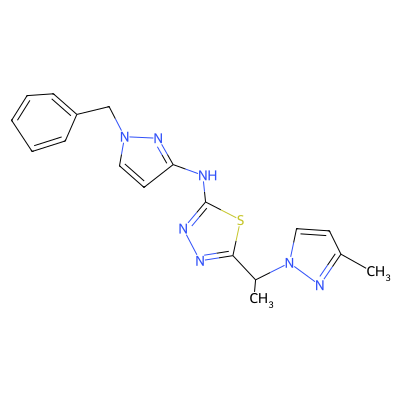 Cc1ccn(C(C)c2nnc(Nc3ccn(Cc4ccccc4)n3)s2)n1